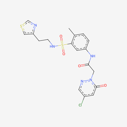 Cc1ccc(NC(=O)Cn2ncc(Cl)cc2=O)cc1S(=O)(=O)NCCc1cscn1